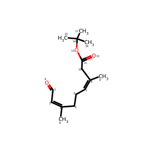 CC(=CC=O)CCC=C(C)CC(=O)OC(C)(C)C